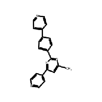 Cc1cc(-c2ccncc2)nc(-c2ccc(-c3ccncc3)cc2)n1